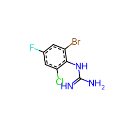 N=C(N)Nc1c(Cl)cc(F)cc1Br